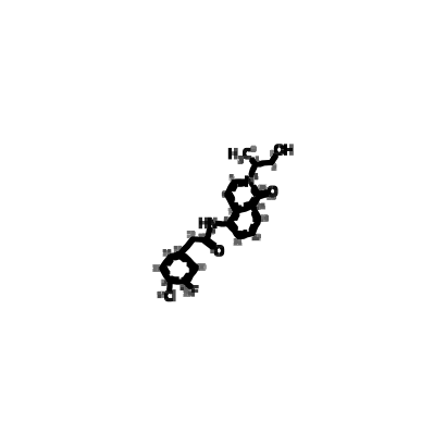 CC(CO)n1ccc2c(NC(=O)Cc3ccc(Cl)c(F)c3)cccc2c1=O